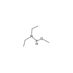 CCN(CC)POC